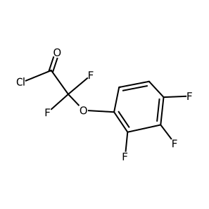 O=C(Cl)C(F)(F)Oc1ccc(F)c(F)c1F